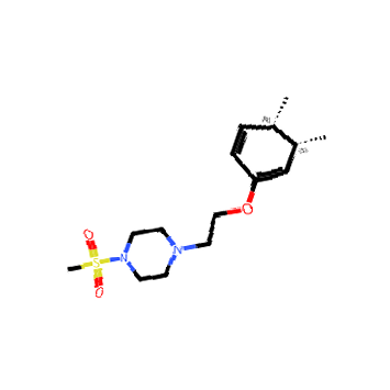 C[C@@H]1C=C(OCCN2CCN(S(C)(=O)=O)CC2)C=C[C@@H]1C